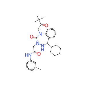 Cc1cccc(NC(=O)CN2NC(C3CCCCC3)c3ccccc3N(CC(=O)C(C)(C)C)C2=O)c1